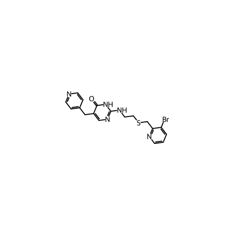 O=c1[nH]c(NCCSCc2ncccc2Br)ncc1Cc1ccncc1